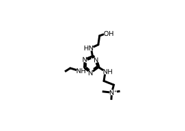 CCNc1nc(NCCO)nc(NCC[N+](C)(C)C)n1